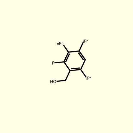 [CH2]CCc1c(C(C)C)cc(C(C)C)c(CO)c1F